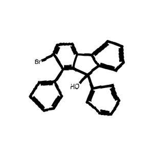 OC1(c2ccccc2)c2ccccc2-c2ccc(Br)c(-c3ccccc3)c21